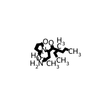 CCCC(C)(CC)C(=O)C(CC(C)(C)N)N1C(=O)C=CC1=O